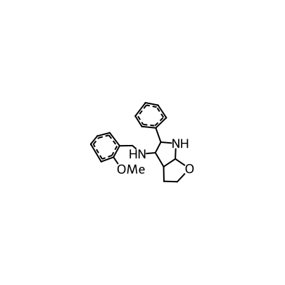 COc1ccccc1CNC1C(c2ccccc2)NC2OCCC21